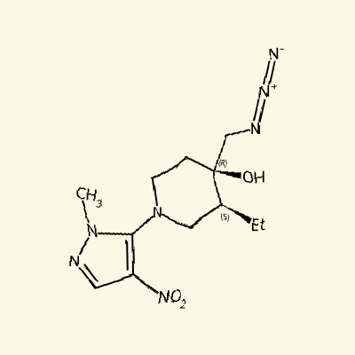 CC[C@H]1CN(c2c([N+](=O)[O-])cnn2C)CC[C@]1(O)CN=[N+]=[N-]